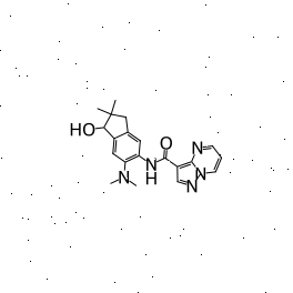 CN(C)c1cc2c(cc1NC(=O)c1cnn3cccnc13)CC(C)(C)C2O